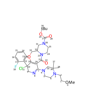 COCCN1CCN(C2=NCC(Cl)(c3ccccc3F)C3=C2C(=O)N2CCN(C(=O)OC(C)(C)C)CC2CO3)CC1(C)C